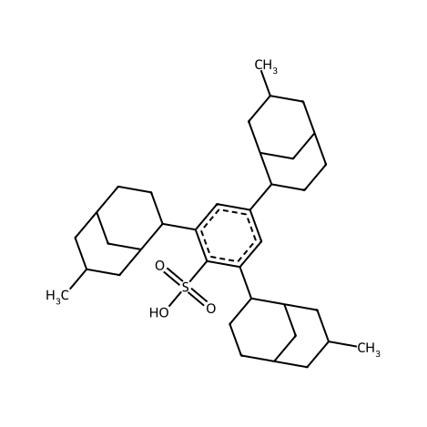 CC1CC2CCC(c3cc(C4CCC5CC(C)CC4C5)c(S(=O)(=O)O)c(C4CCC5CC(C)CC4C5)c3)C(C1)C2